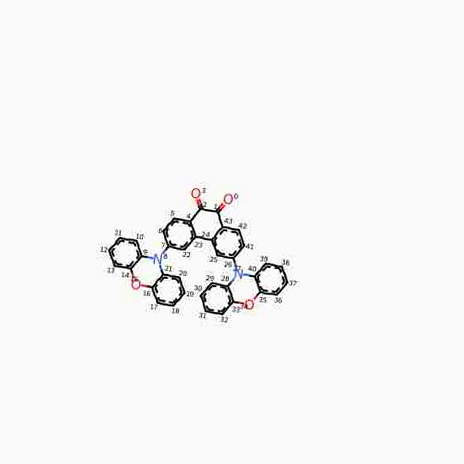 O=C1C(=O)c2ccc(N3c4ccccc4Oc4ccccc43)cc2-c2cc(N3c4ccccc4Oc4ccccc43)ccc21